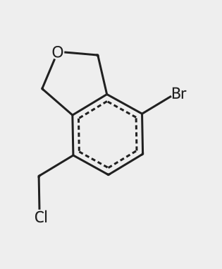 ClCc1ccc(Br)c2c1COC2